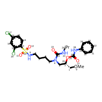 COC[C@H](CN(CCCCNS(=O)(=O)c1ccc(Cl)cc1Cl)C(=O)NC(C)C)OC(=O)Nc1ccccc1